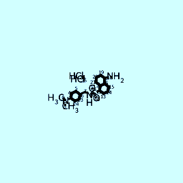 CN(C)c1ccc(CNS(=O)(=O)c2cccc3c(N)cccc23)cc1.Cl.Cl